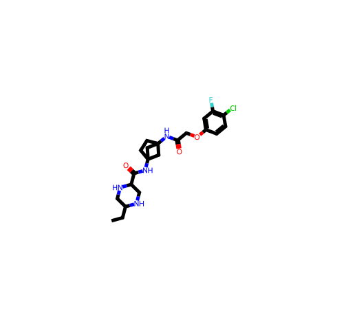 CCC1CNC(C(=O)NC23CCC(NC(=O)COc4ccc(Cl)c(F)c4)(C2)C3)CN1